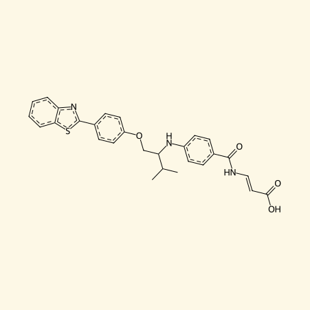 CC(C)C(COc1ccc(-c2nc3ccccc3s2)cc1)Nc1ccc(C(=O)NC=CC(=O)O)cc1